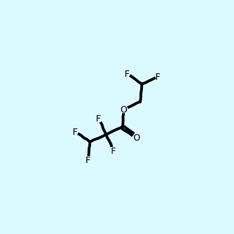 O=C(OCC(F)F)C(F)(F)C(F)F